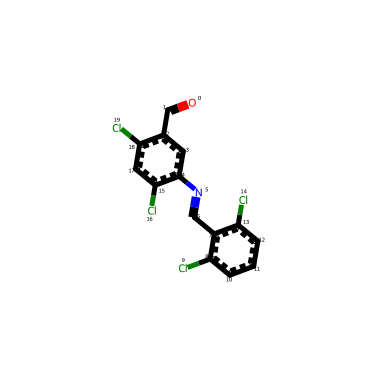 O=Cc1cc(N=Cc2c(Cl)cccc2Cl)c(Cl)cc1Cl